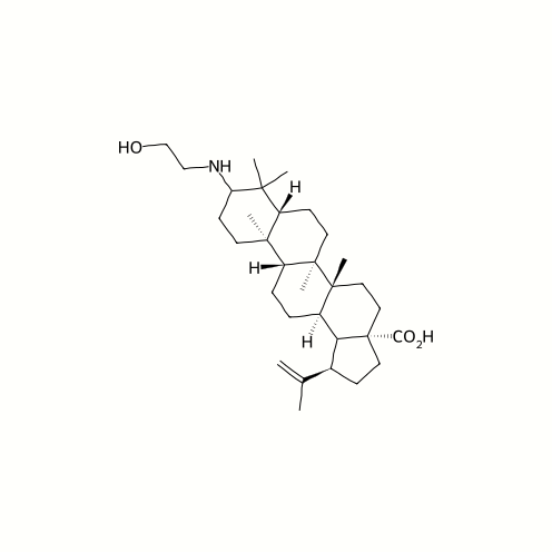 C=C(C)[C@@H]1CC[C@]2(C(=O)O)CC[C@]3(C)[C@H](CC[C@@H]4[C@@]5(C)CCC(NCCO)C(C)(C)[C@@H]5CC[C@]43C)C12